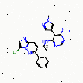 C[C@H](Nc1ncnc(N)c1-c1cnn(C)c1)c1cc2ncc(Cl)n2nc1-c1ccccc1